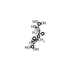 CC(COCC(C(=O)O)c1cc(O)cc(O)c1)(c1ccccc1)c1ccc(C(C)(COCC(C(=O)O)c2cc(O)cc(O)c2)c2ccccc2)cc1